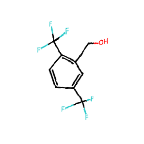 OCc1cc(C(F)(F)F)ccc1C(F)(F)F